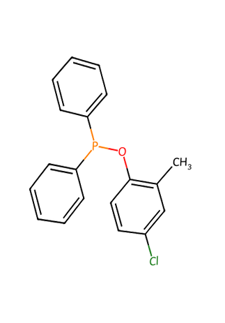 Cc1cc(Cl)ccc1OP(c1ccccc1)c1ccccc1